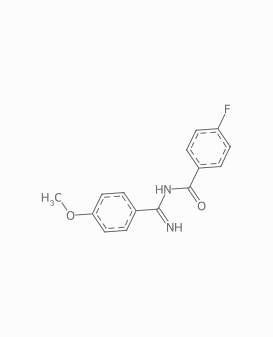 COc1ccc(C(=N)NC(=O)c2ccc(F)cc2)cc1